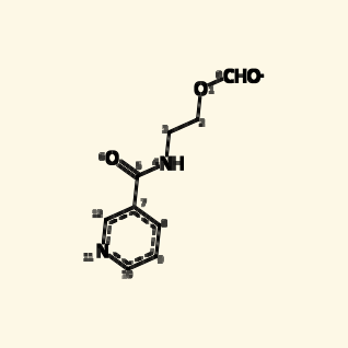 O=[C]OCCNC(=O)c1cccnc1